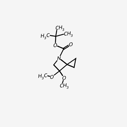 COC1(OC)CN(C(=O)OC(C)(C)C)C12CC2